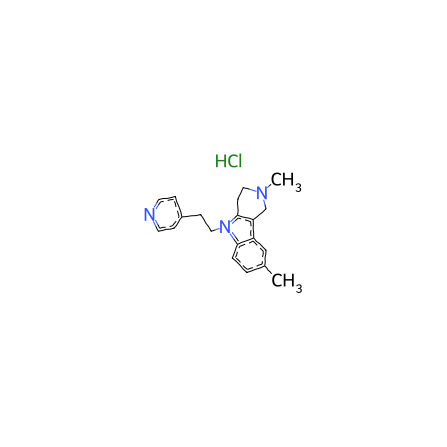 Cc1ccc2c(c1)c1c(n2CCc2ccncc2)CCN(C)C1.Cl